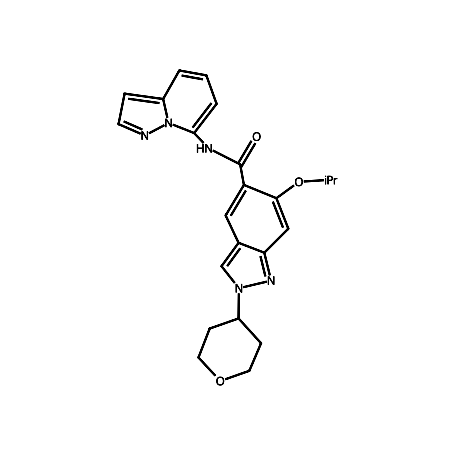 CC(C)Oc1cc2nn(C3CCOCC3)cc2cc1C(=O)Nc1cccc2ccnn12